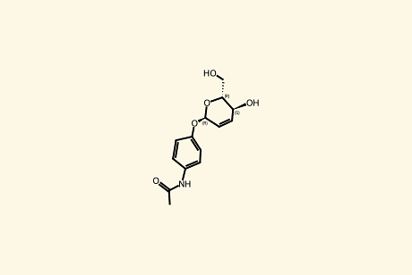 CC(=O)Nc1ccc(O[C@@H]2C=C[C@H](O)[C@@H](CO)O2)cc1